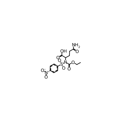 CCOC(=O)N(C(CCC(N)=O)C(=O)O)S(=O)(=O)c1ccc([N+](=O)[O-])cc1